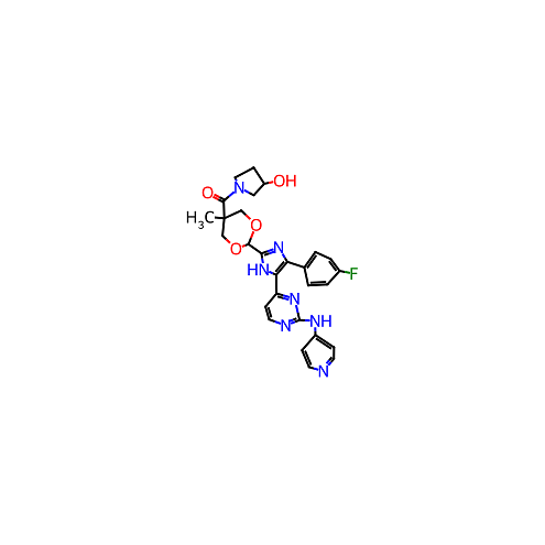 CC1(C(=O)N2CCC(O)C2)COC(c2nc(-c3ccc(F)cc3)c(-c3ccnc(Nc4ccncc4)n3)[nH]2)OC1